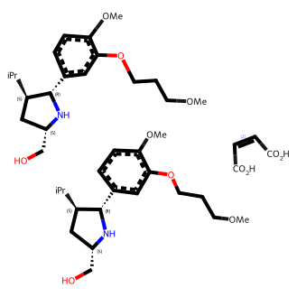 COCCCOc1cc([C@@H]2N[C@H](CO)C[C@H]2C(C)C)ccc1OC.COCCCOc1cc([C@@H]2N[C@H](CO)C[C@H]2C(C)C)ccc1OC.O=C(O)/C=C\C(=O)O